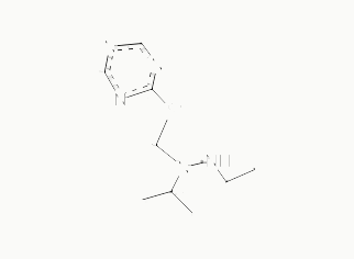 CCNN(CSc1ncncn1)C(C)C